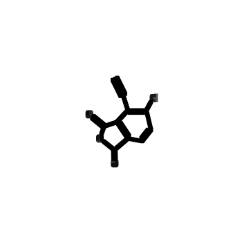 C#Cc1c(Cl)ccc2c1C(=O)OC2=O